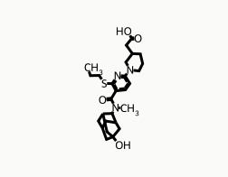 CCCSc1nc(N2CCCC(CC(=O)O)C2)ccc1C(=O)N(C)C1C2CC3CC1CC(O)(C3)C2